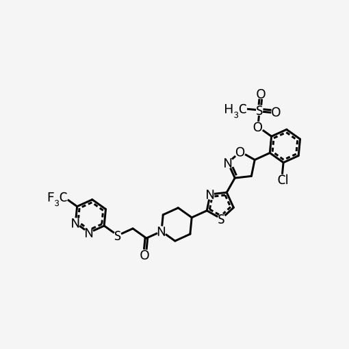 CS(=O)(=O)Oc1cccc(Cl)c1C1CC(c2csc(C3CCN(C(=O)CSc4ccc(C(F)(F)F)nn4)CC3)n2)=NO1